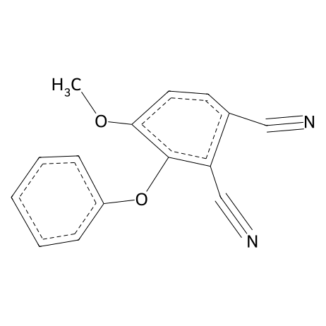 COc1ccc(C#N)c(C#N)c1Oc1ccccc1